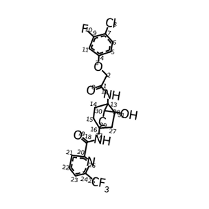 O=C(COc1ccc(Cl)c(F)c1)NC12CCC(NC(=O)c3cccc(C(F)(F)F)n3)(CC1)CC2O